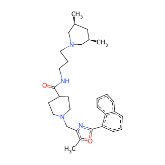 Cc1oc(-c2cccc3ccccc23)nc1CN1CCC(C(=O)NCCCN2C[C@H](C)C[C@H](C)C2)CC1